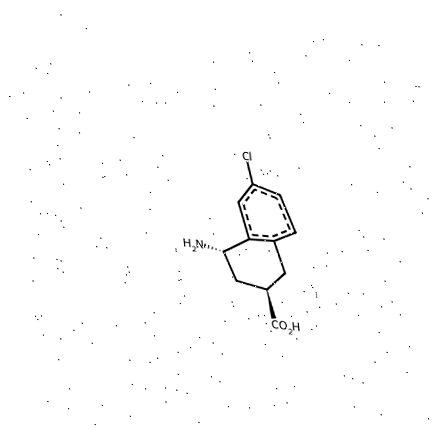 N[C@H]1C[C@H](C(=O)O)Cc2ccc(Cl)cc21